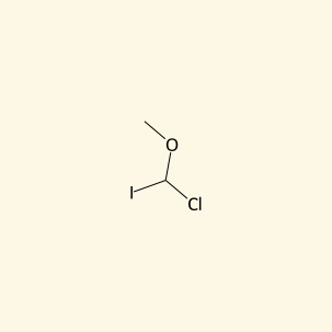 COC(Cl)I